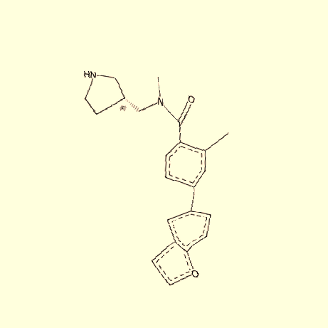 Cc1cc(-c2ccc3occc3c2)ccc1C(=O)N(C)C[C@@H]1CCNC1